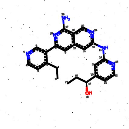 CCc1ccncc1-c1cc2cc(Nc3cc([C@@H](O)CC)ccn3)ncc2c(N)n1